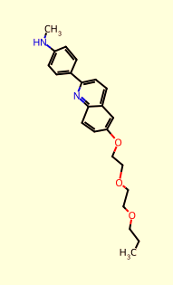 CCCOCCOCCOc1ccc2nc(-c3ccc(NC)cc3)ccc2c1